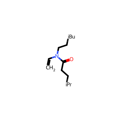 C=CN(CCC(C)CC)C(=O)CCC(C)C